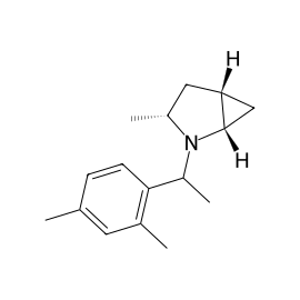 Cc1ccc(C(C)N2[C@H](C)C[C@@H]3C[C@@H]32)c(C)c1